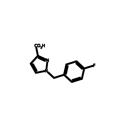 O=C(O)c1ccn(Cc2ccc(F)cc2)n1